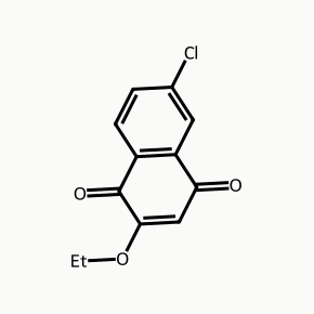 CCOC1=CC(=O)c2cc(Cl)ccc2C1=O